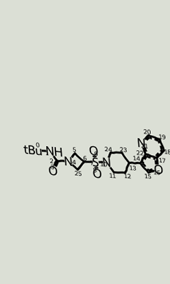 CC(C)(C)NC(=O)N1CC(S(=O)(=O)N2CCC(c3coc4cccnc34)CC2)C1